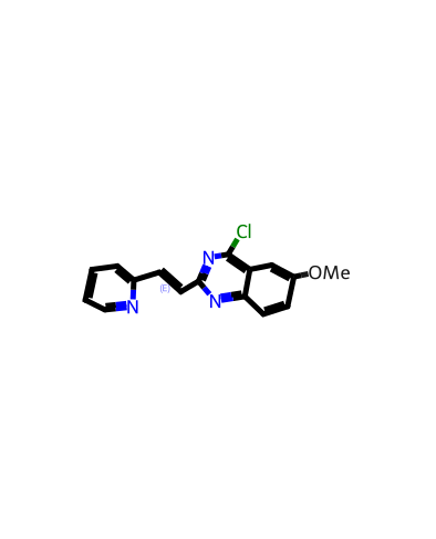 COc1ccc2nc(/C=C/c3ccccn3)nc(Cl)c2c1